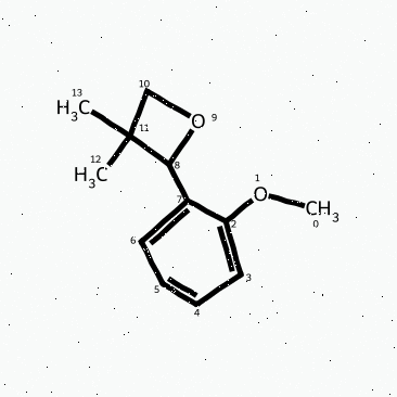 COc1ccccc1C1OCC1(C)C